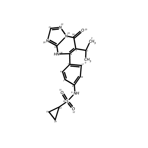 CC(C)c1c(-c2ccc(NS(=O)(=O)C3CC3)cc2)[nH]c2ncnn2c1=O